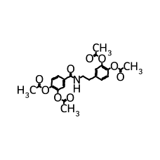 CC(=O)Oc1ccc(CCNC(=O)c2ccc(OC(C)=O)c(OC(C)=O)c2)cc1OC(C)=O